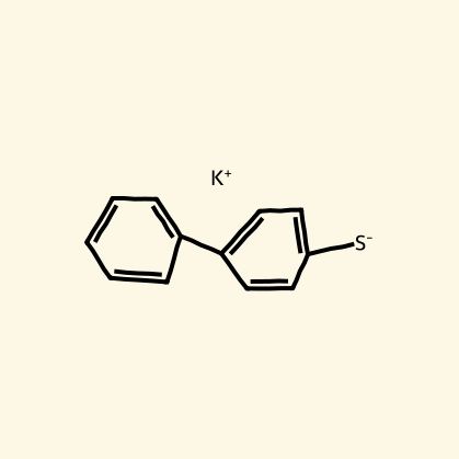 [K+].[S-]c1ccc(-c2ccccc2)cc1